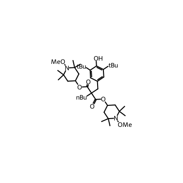 CCCCC(Cc1cc(C(C)(C)C)c(O)c(C(C)(C)C)c1)(C(=O)OC1CC(C)(C)N(OC)C(C)(C)C1)C(=O)OC1CC(C)(C)N(OC)C(C)(C)C1